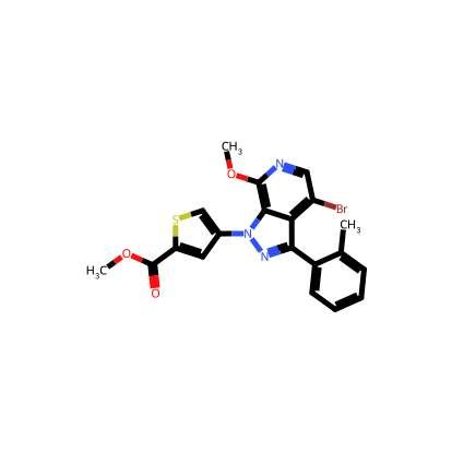 COC(=O)c1cc(-n2nc(-c3ccccc3C)c3c(Br)cnc(OC)c32)cs1